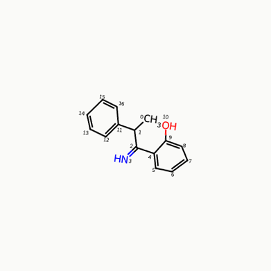 CC(C(=N)c1ccccc1O)c1ccccc1